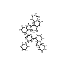 c1ccc(-c2nc(-c3cccc4c3sc3ccccc34)nc(-c3cccc4sc5c(ccc6ccc7ccccc7c65)c34)n2)cc1